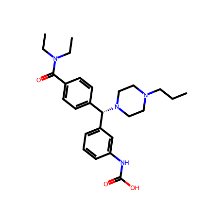 CCCN1CCN([C@@H](c2ccc(C(=O)N(CC)CC)cc2)c2cccc(NC(=O)O)c2)CC1